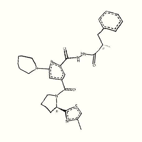 Cc1csc([C@H]2CCCN2C(=O)c2cc(C(=O)NNC(=O)[C@@H](C)Cc3ccccc3)nc(N3CCCC3)c2)n1